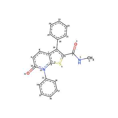 CNC(=O)c1sc2c(ccc(=O)n2-c2ccccc2)c1-c1ccccc1